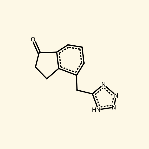 O=C1CCc2c(Cc3nnn[nH]3)cccc21